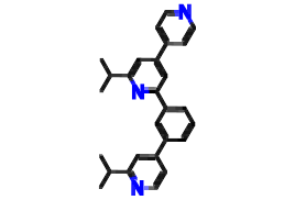 CC(C)c1cc(-c2cccc(-c3cc(-c4ccncc4)cc(C(C)C)n3)c2)ccn1